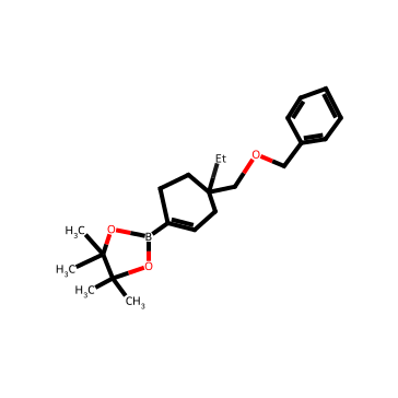 CCC1(COCc2ccccc2)CC=C(B2OC(C)(C)C(C)(C)O2)CC1